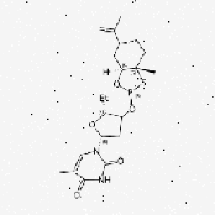 C=C(C)C1CC[C@]2(C)S[P@@](OC3C[C@H](n4cc(C)c(=O)[nH]c4=O)O[C@@H]3CC)O[C@H]2C1